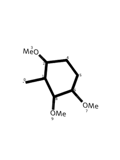 [CH2]C1C(OC)CCC(OC)C1OC